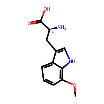 COc1cccc2c(C[C@H](N)C(=O)O)c[nH]c12